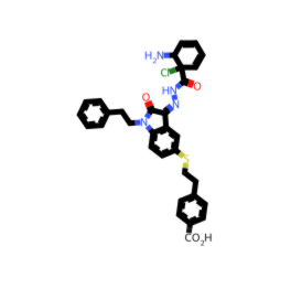 NC1C=CC=CC1(Cl)C(=O)NN=C1C(=O)N(CCc2ccccc2)c2ccc(SCCc3ccc(C(=O)O)cc3)cc21